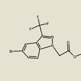 COC(=O)Cn1nc(C(F)(F)F)c2cc(Br)ccc21